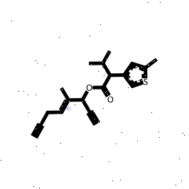 C#CC/C=C(\C)C(C#C)OC(=O)C(c1csc(C)c1)C(C)C